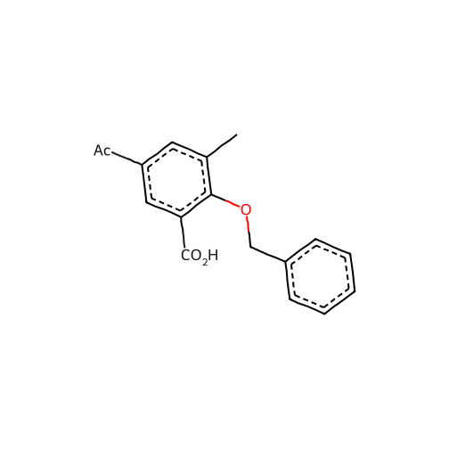 CC(=O)c1cc(C)c(OCc2ccccc2)c(C(=O)O)c1